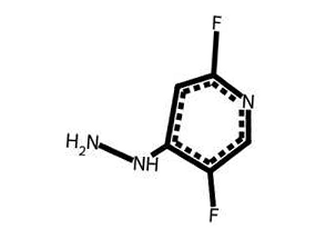 NNc1cc(F)ncc1F